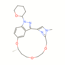 C[C@H]1CCOCCOCc2nc(cn2C)-c2nn(C3CCCCO3)c3ccc(cc23)O1